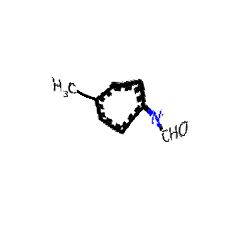 Cc1ccc([N]C=O)cc1